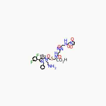 CC(C)(C)[C@H](c1cc(-c2cc(F)ccc2F)cn1Cc1ccccc1)N(CCCN)C(=O)CSC[C@H](NC(=O)CCc1noc(CCNC(=O)CN2C(=O)C=CC2=O)n1)C(=O)O